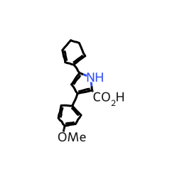 COc1ccc(-c2cc(C3=CCCC=C3)[nH]c2C(=O)O)cc1